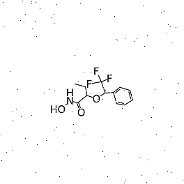 CCC(OC(c1ccccc1)C(F)(F)F)C(=O)NO